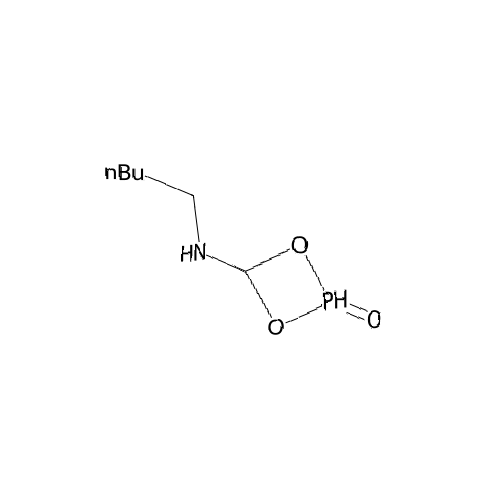 CCCCCNC1O[PH](=O)O1